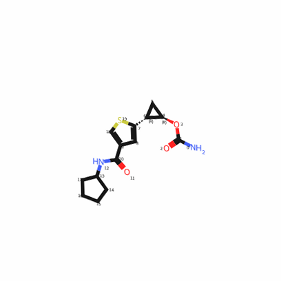 NC(=O)O[C@@H]1C[C@H]1c1cc(C(=O)NC2CCCC2)cs1